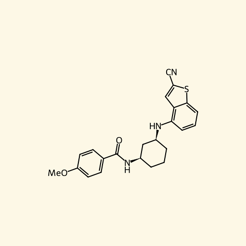 COc1ccc(C(=O)N[C@@H]2CCC[C@H](Nc3cccc4sc(C#N)cc34)C2)cc1